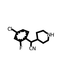 N#CC(c1ccc(Cl)cc1F)C1CCNCC1